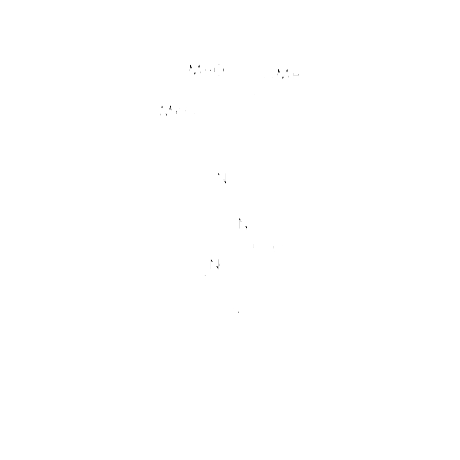 COc1ccc(CN2CCN(C(=O)[C@@H](N)CSCc3ccccc3)CC2)c(OC)c1OC